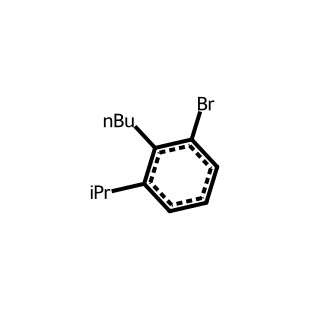 [CH2]CCCc1c(Br)cccc1C(C)C